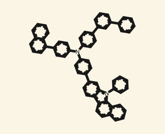 c1ccc(-c2cccc(-c3ccc(N(c4ccc(-c5ccc6c7ccc8ccccc8c7n(-c7ccccc7)c6c5)cc4)c4ccc(-c5cccc6ccccc56)cc4)cc3)c2)cc1